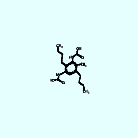 CCCCc1cc(NC(=O)O)c(CCCC)c(NC(=O)O)c1C